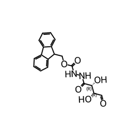 O=C[C@H](O)[C@@H](O)C(=O)NNC(=O)OCC1c2ccccc2-c2ccccc21